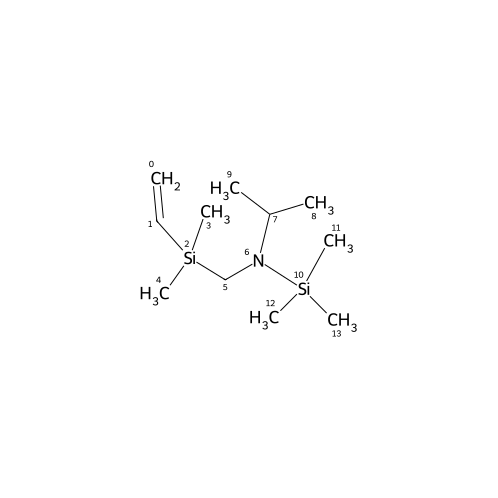 C=C[Si](C)(C)CN(C(C)C)[Si](C)(C)C